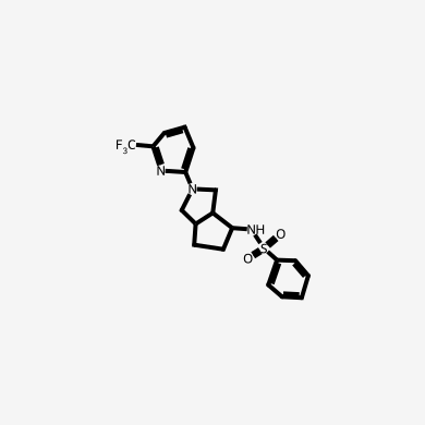 O=S(=O)(NC1CCC2CN(c3cccc(C(F)(F)F)n3)CC21)c1ccccc1